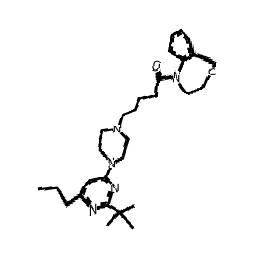 CCCc1cc(N2CCN(CCCCC(=O)N3CCCCc4ccccc43)CC2)nc(C(C)(C)C)n1